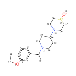 CC(c1ccc2c(c1)OCC2)N1CCC(N2CC[S+]([O-])CC2)CC1